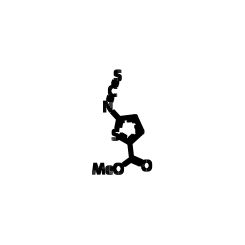 COC(=O)c1ccc(N=C=S)s1